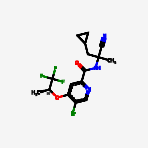 C[C@H](Oc1cc(C(=O)NC(C)(C#N)CC2CC2)ncc1Br)C(F)(F)F